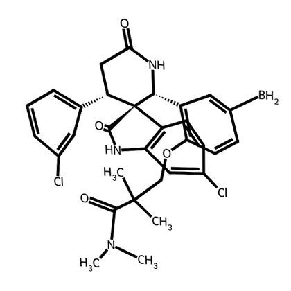 Bc1ccc(OCC(C)(C)C(=O)N(C)C)c([C@H]2NC(=O)C[C@@H](c3cccc(Cl)c3)[C@]23C(=O)Nc2cc(Cl)ccc23)c1